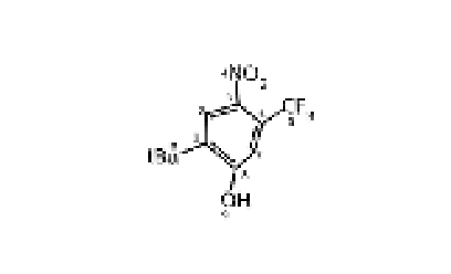 CC(C)(C)c1cc([N+](=O)[O-])c(C(F)(F)F)cc1O